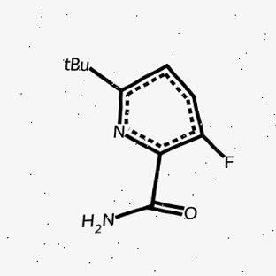 CC(C)(C)c1ccc(F)c(C(N)=O)n1